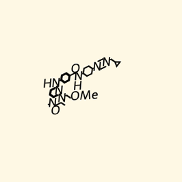 COCCN1c2nc(Nc3ccc(C(=O)N[C@H]4CC[C@H](N5CCN(CC6CC6)CC5)CC4)cc3)ccc2N(C)C(=O)C1C